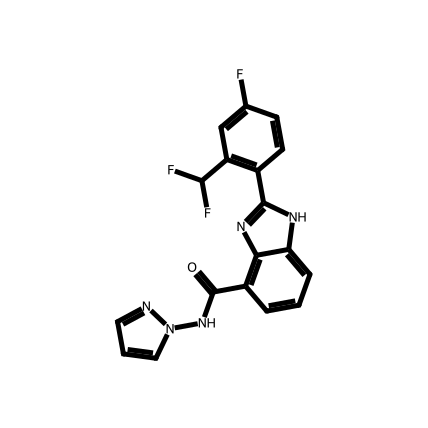 O=C(Nn1cccn1)c1cccc2[nH]c(-c3ccc(F)cc3C(F)F)nc12